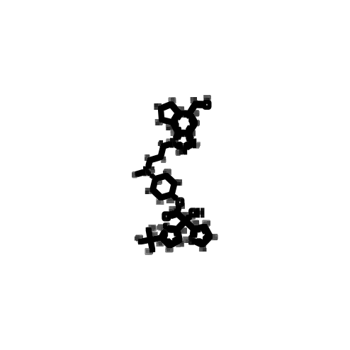 CN(CCCn1nnc2cc(C=O)c3c(c21)CCC3)[C@H]1CC[C@H](OC(=O)C(O)(c2cccs2)c2ccc(C(C)(C)C)s2)CC1